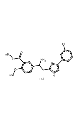 CCCCOC(=O)c1cc(C(N)Cc2nc(-c3cccc(Cl)c3)c[nH]2)ccc1OCCCC.Cl